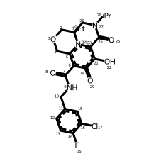 CCC12COCc3c(C(=O)NCc4ccc(F)c(Cl)c4)c(=O)c(O)c(n31)C(=O)N(C(C)C)C2